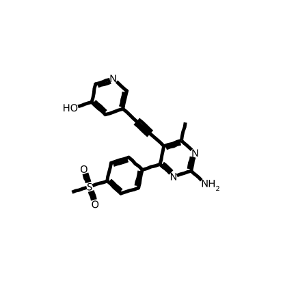 Cc1nc(N)nc(-c2ccc(S(C)(=O)=O)cc2)c1C#Cc1cncc(O)c1